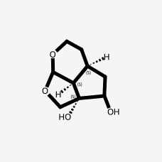 OC1C[C@@H]2CCOC3OC[C@@]1(O)[C@@H]32